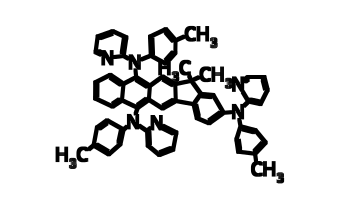 Cc1ccc(N(c2ccc3c(c2)C(C)(C)c2cc4c(N(c5ccc(C)cc5)c5ccccn5)c5ccccc5c(N(c5ccc(C)cc5)c5ccccn5)c4cc2-3)c2ccccn2)cc1